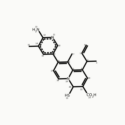 C=CC(C)C1=C2C(C)=C(c3cnc(N)c(C)c3)C=CN2C(S)C(C(=O)O)=C1